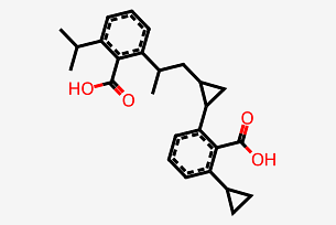 CC(C)c1cccc(C(C)CC2CC2c2cccc(C3CC3)c2C(=O)O)c1C(=O)O